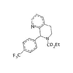 CCOC(=O)N1CCc2cccnc2C1c1ccc(C(F)(F)F)cc1